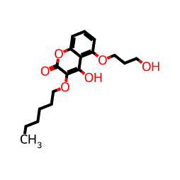 CCCCCCOc1c(O)c2c(OCCCO)cccc2oc1=O